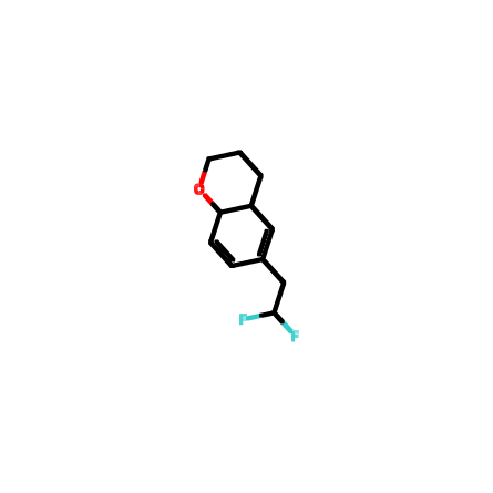 FC(F)CC1=CC2CCCOC2C=C1